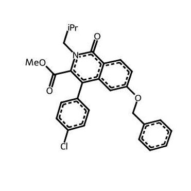 COC(=O)c1c(-c2ccc(Cl)cc2)c2cc(OCc3ccccc3)ccc2c(=O)n1CC(C)C